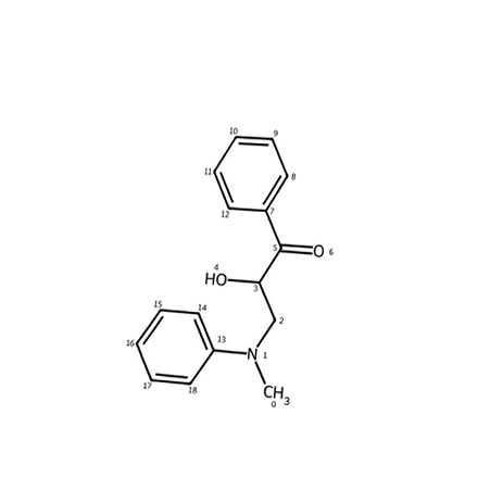 CN(CC(O)C(=O)c1ccccc1)c1ccccc1